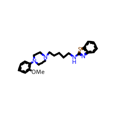 COc1ccccc1N1CCN(CCCCCNc2nc3ccccc3s2)CC1